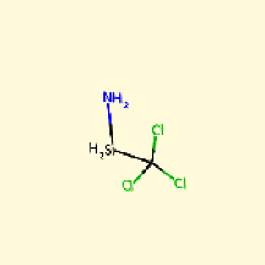 N[SiH2]C(Cl)(Cl)Cl